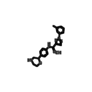 Cc1cccc(-n2ncc(C(=O)Nc3ccc(C4CNCCO4)cc3)n2)c1.Cl